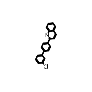 Clc1cccc(-c2ccc(-c3ccc4ccccc4n3)cc2)c1